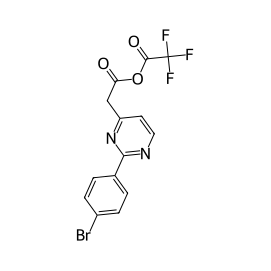 O=C(Cc1ccnc(-c2ccc(Br)cc2)n1)OC(=O)C(F)(F)F